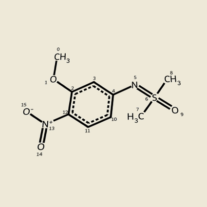 COc1cc(N=S(C)(C)=O)ccc1[N+](=O)[O-]